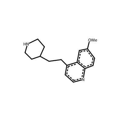 COc1ccc2nccc(CCC3CCNCC3)c2c1